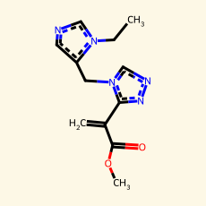 C=C(C(=O)OC)c1nncn1Cc1cncn1CC